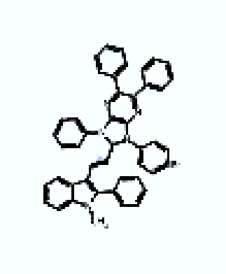 Br.Cn1c(-c2ccccc2)c(/C=C/C2N(c3ccccc3)c3nc(-c4ccccc4)c(-c4ccccc4)nc3N2c2ccccc2)c2ccccc21